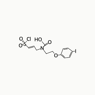 O=C(O)N(C/C=C/S(=O)(=O)Cl)CCOc1ccc(I)cc1